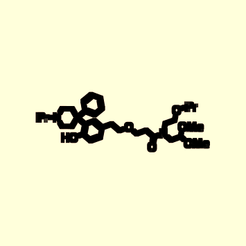 COC(CN(CCOC(C)C)C(=O)CCOCCc1ccc(O)c(C2(c3ccccc3)CCN(C(C)C)CC2)c1)OC